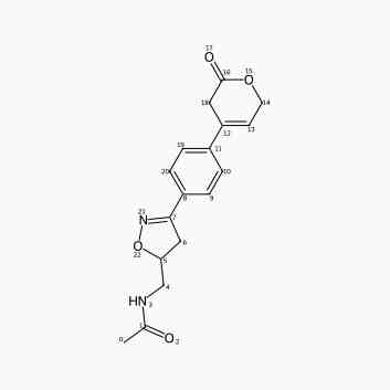 CC(=O)NCC1CC(c2ccc(C3=CCOC(=O)C3)cc2)=NO1